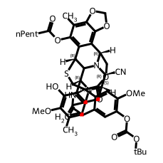 C=CCN1[C@@H]2c3c(cc(C)c(OC)c3O)C[C@H]1[C@H](C#N)N1C2[C@@H]2SC[C@]3(NCCc4cc(OC(=O)OC(C)(C)C)c(OC)cc43)C(=O)OC[C@H]1c1c3c(c(C)c(OC(=O)CCCCC)c12)OCO3